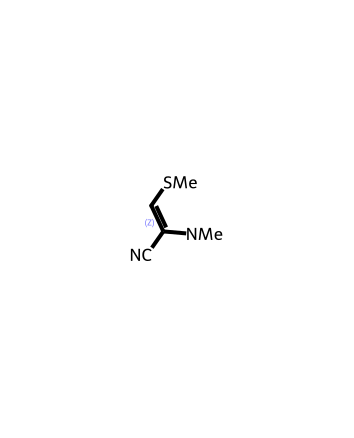 CN/C(C#N)=C\SC